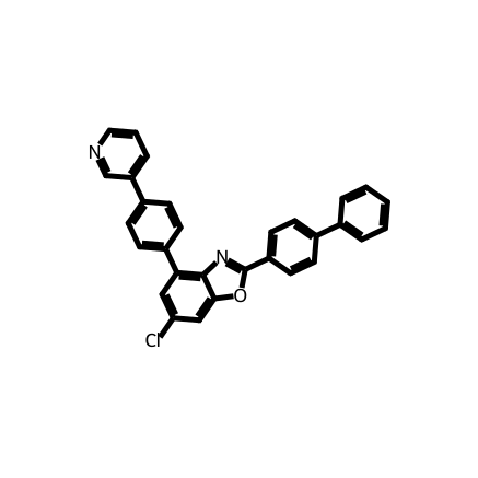 Clc1cc(-c2ccc(-c3cccnc3)cc2)c2nc(-c3ccc(-c4ccccc4)cc3)oc2c1